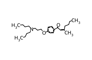 CCCCC(C)=CC(=O)c1ccc(OCCCN(CCCC)CCCC)cc1